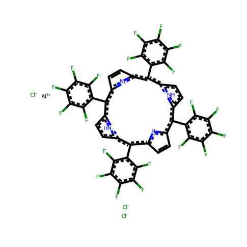 Fc1c(F)c(F)c(-c2c3nc(c(-c4c(F)c(F)c(F)c(F)c4F)c4ccc([nH]4)c(-c4c(F)c(F)c(F)c(F)c4F)c4nc(c(-c5c(F)c(F)c(F)c(F)c5F)c5ccc2[nH]5)C=C4)C=C3)c(F)c1F.[Al+3].[Cl-].[Cl-].[Cl-]